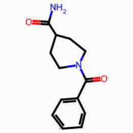 NC(=O)C1CCN(C(=O)c2cc[c]cc2)CC1